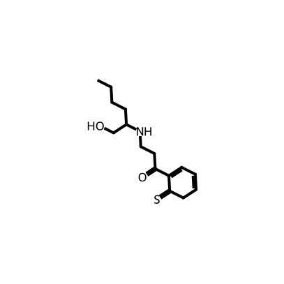 CCCCC(CO)NCCC(=O)C1=CC=CCC1=S